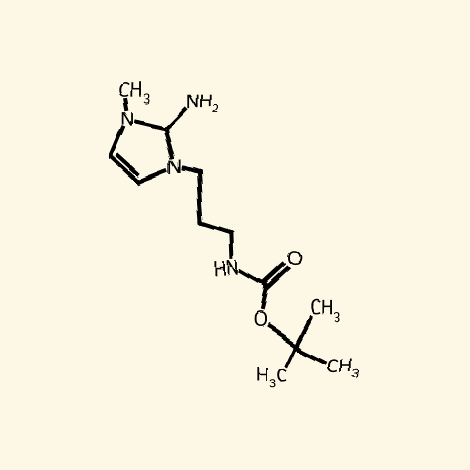 CN1C=CN(CCCNC(=O)OC(C)(C)C)C1N